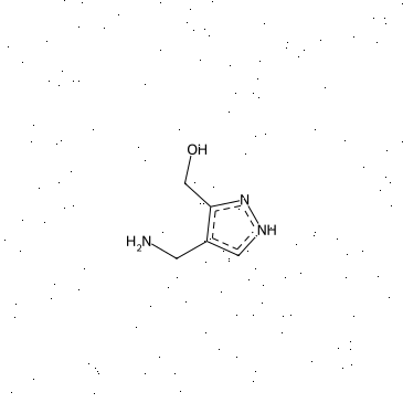 NCc1c[nH]nc1CO